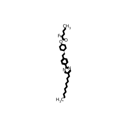 CCCCCCCCCCc1cnc(-c2ccc(CC[C@H]3CC[C@H](OC(=O)[C@@H](F)CCCC)CC3)cc2)nc1